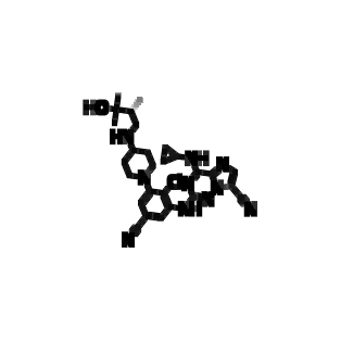 C[C@H](CNC1CCN(c2cc(C#N)cc(Nc3nc(NC4CC4)c4ncc(C#N)n4n3)c2Cl)CC1)C(C)(C)O